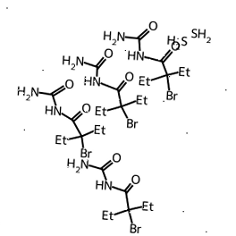 CCC(Br)(CC)C(=O)NC(N)=O.CCC(Br)(CC)C(=O)NC(N)=O.CCC(Br)(CC)C(=O)NC(N)=O.CCC(Br)(CC)C(=O)NC(N)=O.S.S